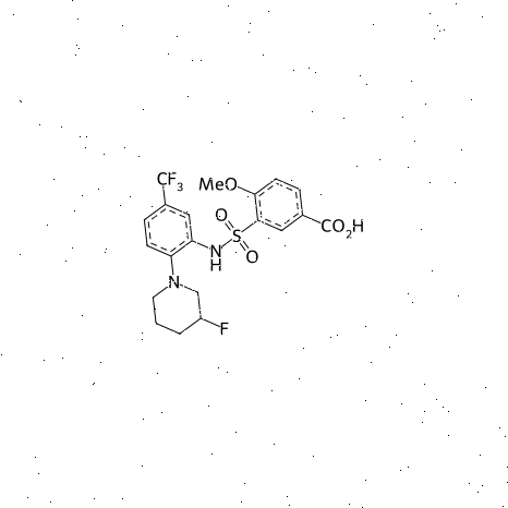 COc1ccc(C(=O)O)cc1S(=O)(=O)Nc1cc(C(F)(F)F)ccc1N1CCCC(F)C1